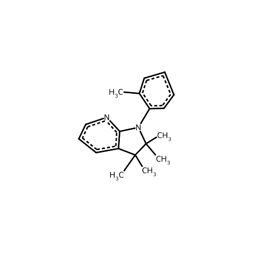 Cc1ccccc1N1c2ncccc2C(C)(C)C1(C)C